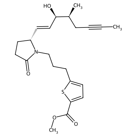 CC#CC[C@H](C)[C@H](O)C=C[C@H]1CCC(=O)N1CCCc1ccc(C(=O)OC)s1